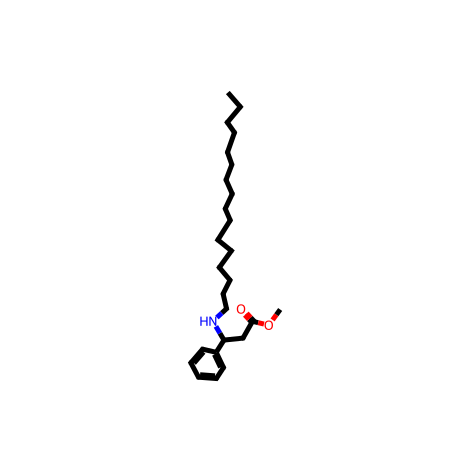 CCCCCCCCCCCCCCCCNC(CC(=O)OC)c1ccccc1